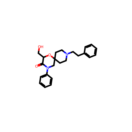 O=C1C(CO)OC2(CCN(CCc3ccccc3)CC2)CN1c1ccccc1